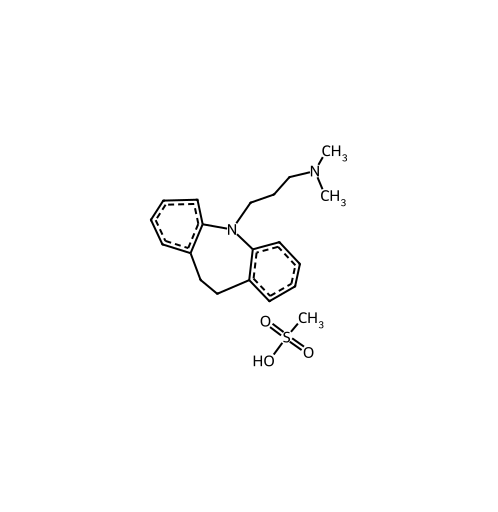 CN(C)CCCN1c2ccccc2CCc2ccccc21.CS(=O)(=O)O